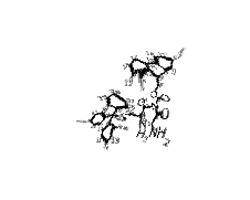 NCC(=O)N(C(=O)OCC1c2ccccc2-c2ccccc21)C(=O)[C@@H](N)CSC(c1ccccc1)(c1ccccc1)c1ccccc1